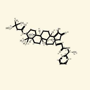 CC(C)C1=C2[C@H]3CC[C@@H]4[C@@]5(C)CC[C@H](OC(=O)CC(C)(C)C(=O)O)C(C)(C)[C@@H]5CC[C@@]4(C)[C@]3(C)CC[C@@]2(/C=C/C(=O)N[C@H](C)c2ncccn2)CC1=O